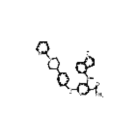 CN(c1cc(Nc2ccc(C3CCN(c4ccccn4)CC3)cc2)ncc1C(N)=O)c1cccc2[nH]ccc12